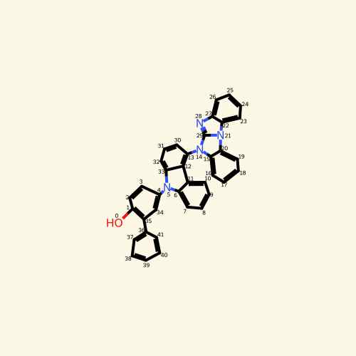 Oc1ccc(-n2c3ccccc3c3c(-n4c5ccccc5n5c6ccccc6nc45)cccc32)cc1-c1ccccc1